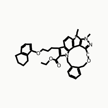 CCOC(=O)c1c(CCCOc2cccc3c2CCCC3)c2ccc(F)c3c2n1Cc1ccccc1COCc1nn(C)c(CC)c1-3